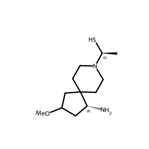 COC1C[C@@H](N)C2(CCN([C@H](C)S)CC2)C1